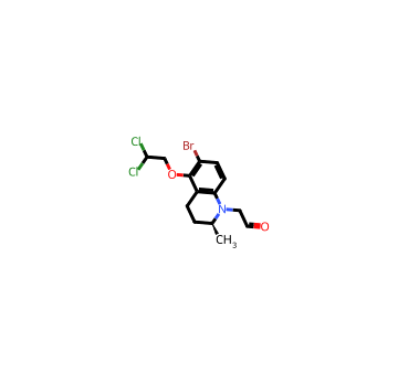 C[C@H]1CCc2c(ccc(Br)c2OCC(Cl)Cl)N1CC=O